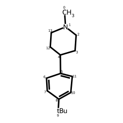 CN1CCC(c2ccc(C(C)(C)C)cc2)CC1